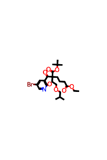 CCOC(=O)CCCC(C(=O)COCC(C)C)(C(=O)OC(C)(C)C)C(=O)c1cncc(Br)c1